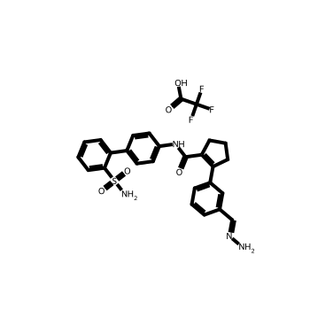 NN=Cc1cccc(C2=C(C(=O)Nc3ccc(-c4ccccc4S(N)(=O)=O)cc3)CCC2)c1.O=C(O)C(F)(F)F